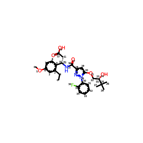 CCc1cc(OC)ccc1[C@H](CC(=O)O)NC(=O)c1cc(OC[C@@H](O)C(C)(C)C)n(-c2ccccc2F)n1